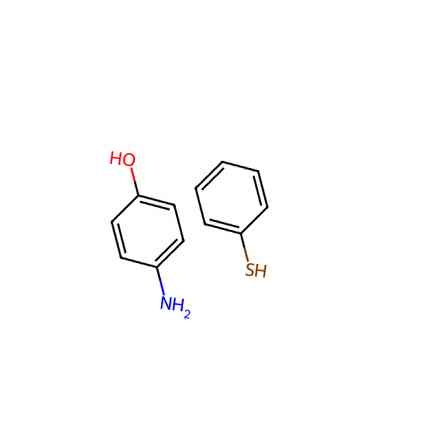 Nc1ccc(O)cc1.Sc1ccccc1